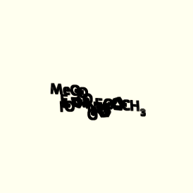 COC(=O)[C@@H]1C[C@@H](OC(F)F)CN1C(=O)CNC(=O)c1cccc(Oc2ccc(C)cc2)c1F